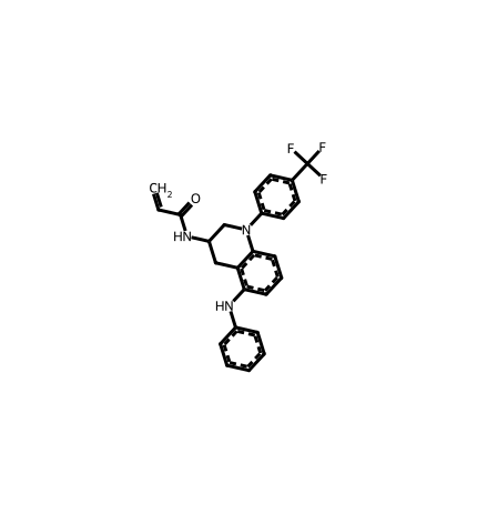 C=CC(=O)NC1Cc2c(Nc3ccccc3)cccc2N(c2ccc(C(F)(F)F)cc2)C1